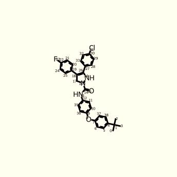 CC(C)(C)c1ccc(Oc2ccc(NC(=O)N3CC(c4ccc(F)cc4)=C(c4ccc(Cl)cc4)N3)cc2)cc1